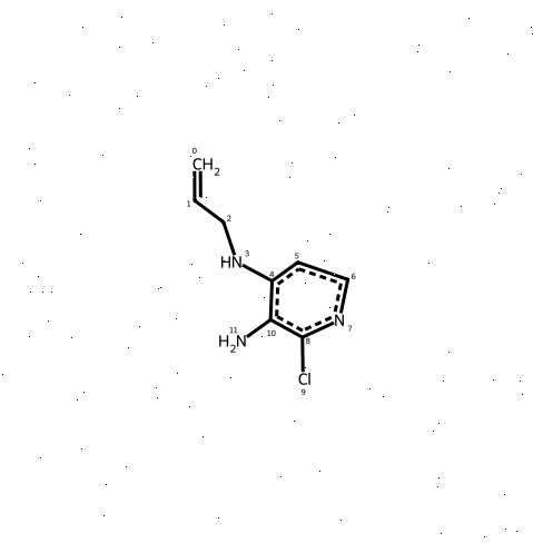 C=CCNc1ccnc(Cl)c1N